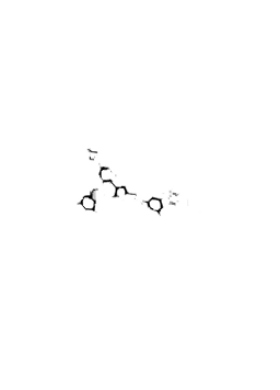 Cc1sc(C(=O)Nc2cc(Cl)cc(NS(C)(=O)=O)c2)cc1-c1ncc(N2CC(F)(F)C2)cc1OCc1cc(F)cc(F)c1